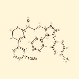 COc1cccc(C2=NN(C(=O)CSc3nnc(-c4ccc(C)cc4)n3-c3ccccc3)CCC2)c1